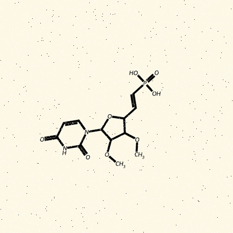 COC1C(/C=C/P(=O)(O)O)OC(n2ccc(=O)[nH]c2=O)C1OC